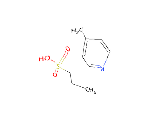 CCCS(=O)(=O)O.Cc1ccncc1